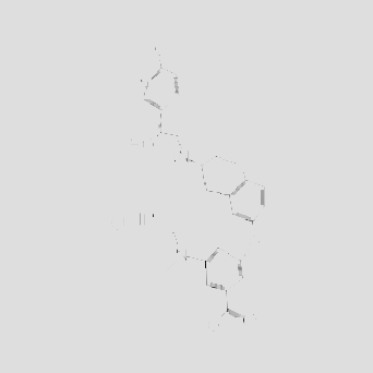 CN(C)c1cc(Oc2ccc3c(c2)C[C@@H](NC[C@@H](O)c2ccc(Cl)nc2)CC3)cc(C(=O)O)c1.Cl.Cl